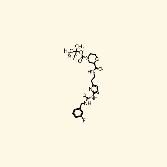 CC(C)(C)OC(=O)N1CCOC(C(=O)NCCc2csc(NC(=O)NCc3cccc(F)c3)n2)C1